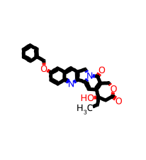 CCC1(O)CC(=O)OCc2c1cc1n(c2=O)Cc2cc3cc(OCc4ccccc4)ccc3nc2-1